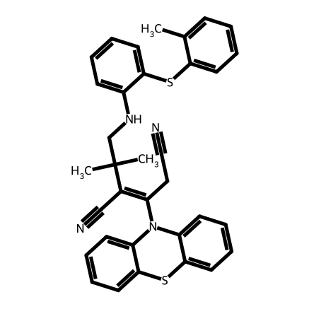 Cc1ccccc1Sc1ccccc1NCC(C)(C)/C(C#N)=C(\CC#N)N1c2ccccc2Sc2ccccc21